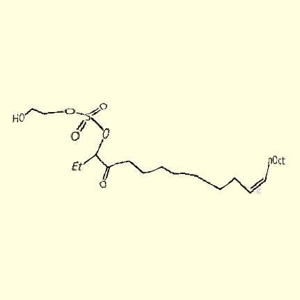 CCCCCCCC/C=C\CCCCCCCC(=O)C(CC)OS(=O)(=O)OCCO